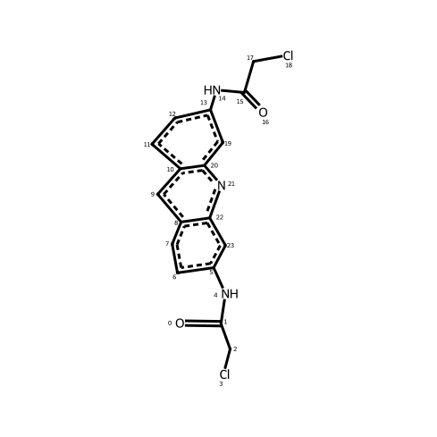 O=C(CCl)Nc1ccc2cc3ccc(NC(=O)CCl)cc3nc2c1